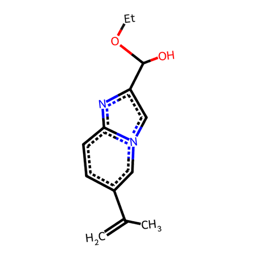 C=C(C)c1ccc2nc(C(O)OCC)cn2c1